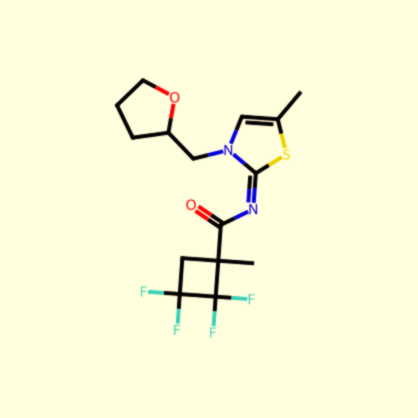 Cc1cn(CC2CCCO2)c(=NC(=O)C2(C)CC(F)(F)C2(F)F)s1